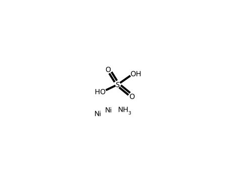 N.O=S(=O)(O)O.[Ni].[Ni]